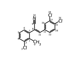 Cc1c(Cl)cccc1C(C#N)=Cc1ccc(Cl)c(Cl)c1